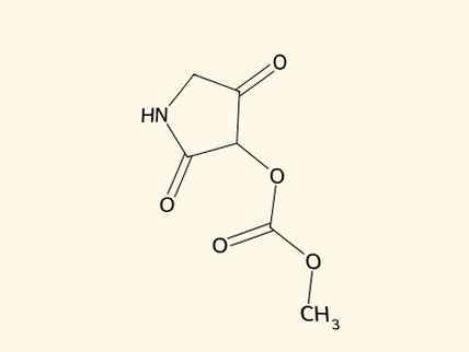 COC(=O)OC1C(=O)CNC1=O